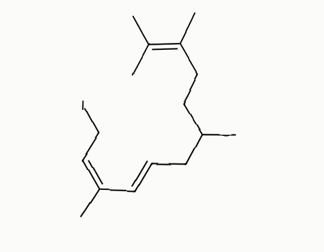 CC(C=CCC(C)CCC(C)=C(C)C)=CCI